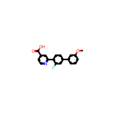 COc1cccc(-c2ccc(-c3cc(C(=O)O)ccn3)c(F)c2)c1